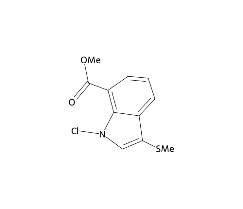 COC(=O)c1cccc2c(SC)cn(Cl)c12